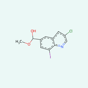 COC(O)c1cc(I)c2ncc(Cl)cc2c1